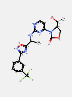 CC(Nc1nccc(N2C(=O)OC[C@@H]2[C@@H](C)O)n1)c1nc(-c2cccc(C(F)(F)F)c2)no1